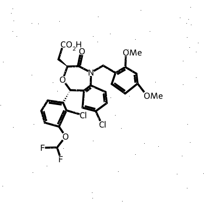 COc1ccc(CN2C(=O)[C@H](CC(=O)O)O[C@@H](c3cccc(OC(F)F)c3Cl)c3cc(Cl)ccc32)c(OC)c1